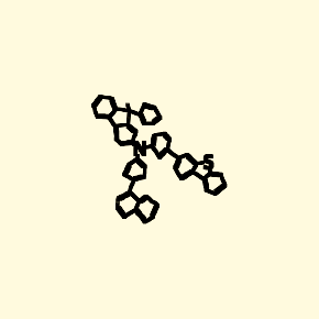 CC1(c2ccccc2)c2ccccc2-c2ccc(N(c3ccc(-c4cccc5ccccc45)cc3)c3cccc(-c4ccc5c(c4)sc4ccccc45)c3)cc21